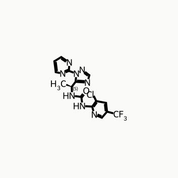 C[C@H](NC(=O)Nc1ncc(C(F)(F)F)cc1Cl)c1ncnn1-c1ncccn1